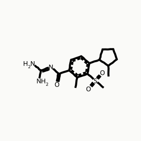 Cc1c(C(=O)N=C(N)N)ccc(C2CCCC2C)c1S(C)(=O)=O